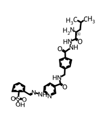 CC(C)C[C@H](N)C(=O)NNC(=O)c1ccc(CNC(=O)c2ccc(NN=Cc3ccccc3S(=O)(=O)O)nc2)cc1